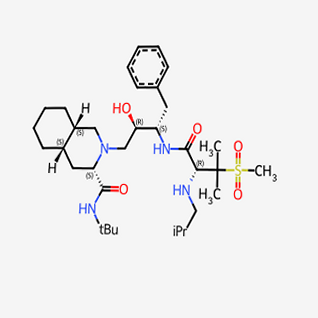 CC(C)CN[C@H](C(=O)N[C@@H](Cc1ccccc1)[C@H](O)CN1C[C@H]2CCCC[C@H]2C[C@H]1C(=O)NC(C)(C)C)C(C)(C)S(C)(=O)=O